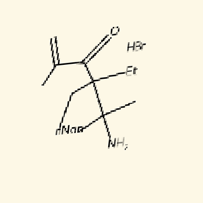 Br.C=C(C)C(=O)C(CC)(CCCCCCCCCC)C(C)(C)N